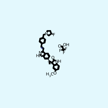 COc1ccc2c(c1)[C@]1(C[C@H]1c1ccc3c(/C=C/c4ccc(CN5CC[C@@H](F)C5)cc4)n[nH]c3c1)C(=O)N2.O=C(O)C(F)(F)F